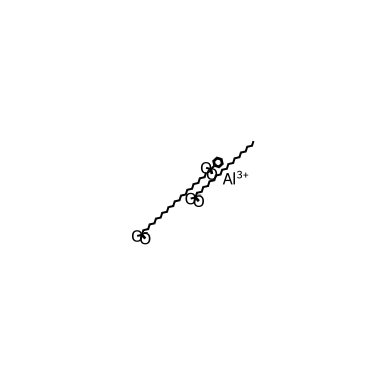 CCCCCCCCCCCCCCCCCCCC(=O)[O-].CCCCCCCCCCCCCCCCCCCCCC(=O)[O-].O=C([O-])c1ccccc1.[Al+3]